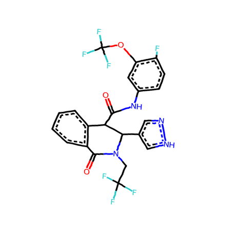 O=C(Nc1ccc(F)c(OC(F)(F)F)c1)C1c2ccccc2C(=O)N(CC(F)(F)F)C1c1cn[nH]c1